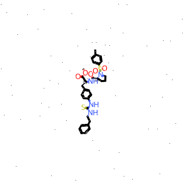 COC(=O)[C@H](Cc1ccc(NC(=S)NCCc2ccccc2)cc1)NC(=O)[C@@H]1CCCN1S(=O)(=O)c1ccc(C)cc1